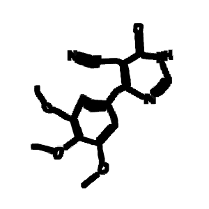 COc1cc(-c2nc[nH]c(=O)c2C#N)cc(OC)c1OC